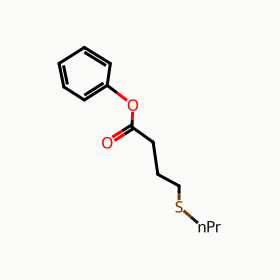 CCCSCCCC(=O)Oc1ccccc1